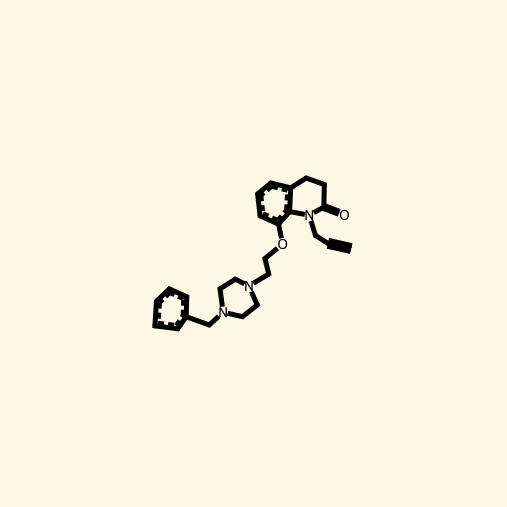 C#CCN1C(=O)CCc2cccc(OCCN3CCN(Cc4ccccc4)CC3)c21